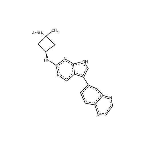 CC(=O)N[C@]1(C)C[C@@H](Nc2ncc3c(-c4ccc5nccnc5c4)c[nH]c3n2)C1